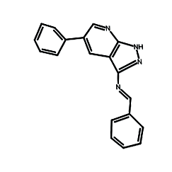 C(=N\c1n[nH]c2ncc(-c3ccccc3)cc12)/c1ccccc1